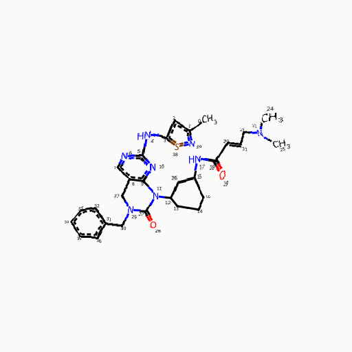 Cc1cc(Nc2ncc3c(n2)N(C2CCCC(NC(=O)/C=C/CN(C)C)C2)C(=O)N(Cc2ccccc2)C3)sn1